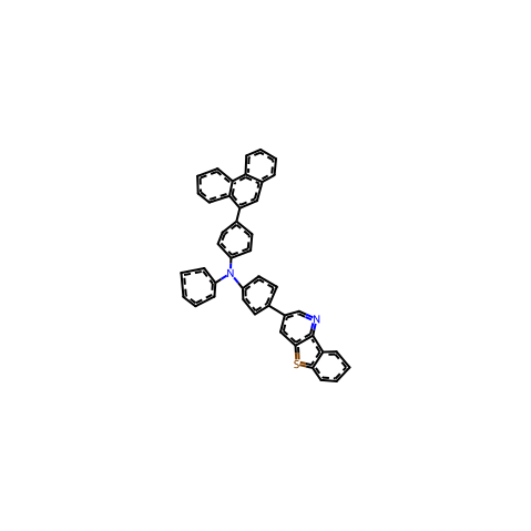 c1ccc(N(c2ccc(-c3cnc4c(c3)sc3ccccc34)cc2)c2ccc(-c3cc4ccccc4c4ccccc34)cc2)cc1